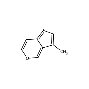 Cc1c[c]c2ccocc1-2